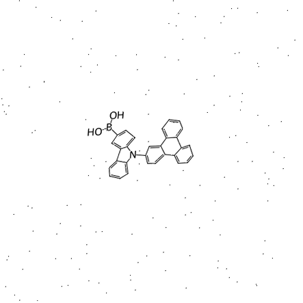 OB(O)c1ccc2c(c1)c1ccccc1n2-c1ccc2c3ccccc3c3ccccc3c2c1